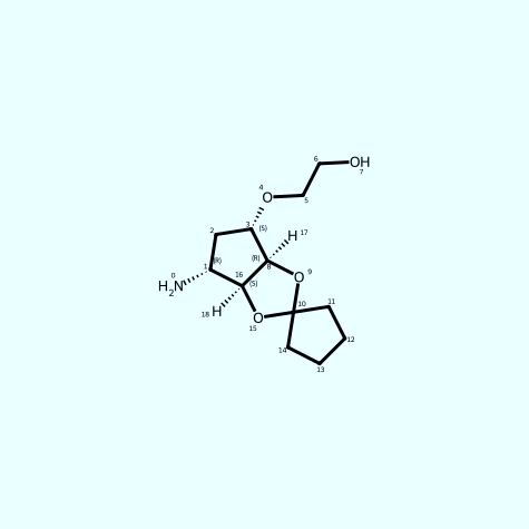 N[C@@H]1C[C@H](OCCO)[C@H]2OC3(CCCC3)O[C@H]21